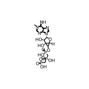 Cn1cnc2c(ncn2[C@@H]2O[C@@H]3C(OP(=O)(O)CP(=O)(O)CP(=O)(O)O)[C@]3(O)[C@H]2O)c1=N